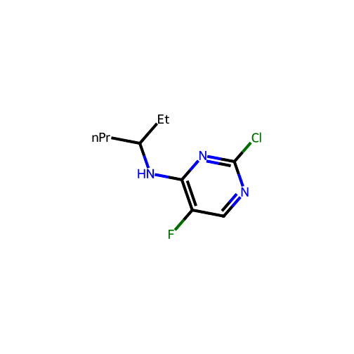 CCCC(CC)Nc1nc(Cl)ncc1F